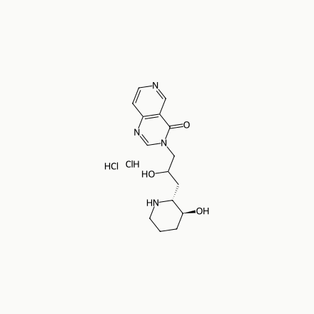 Cl.Cl.O=c1c2cnccc2ncn1CC(O)C[C@H]1NCCC[C@@H]1O